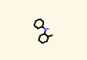 CC1CCCCC1NC1CCCCC1